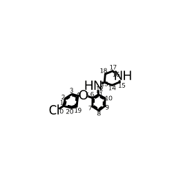 Clc1ccc(Oc2ccccc2NC2CCNCC2)cc1